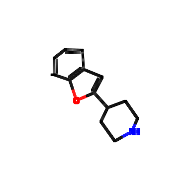 [c]1cccc2cc(C3CCNCC3)oc12